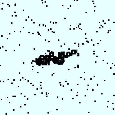 Cn1nccc1Nc1cc(-c2cc3n(c2)CCCn2c(COCC(F)(F)F)nnc2-3)c(Cl)cn1